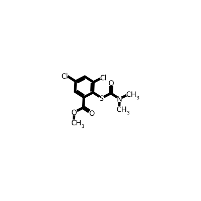 COC(=O)c1cc(Cl)cc(Cl)c1SC(=O)N(C)C